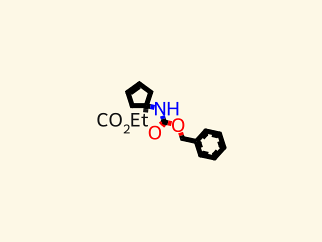 CCOC(=O)C1(NC(=O)OCc2ccccc2)CC=CC1